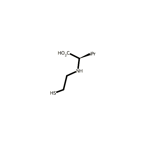 CC(C)[C@@H](NCCS)C(=O)O